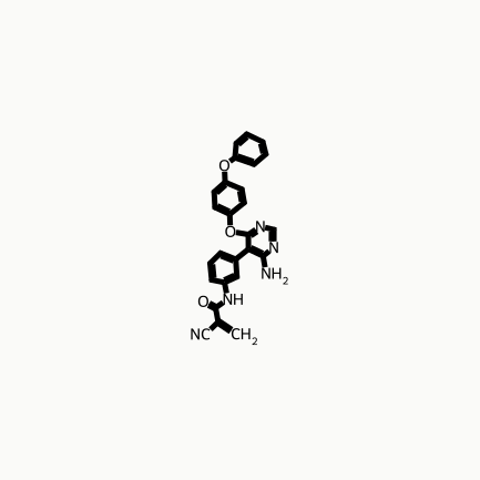 C=C(C#N)C(=O)Nc1cccc(-c2c(N)ncnc2Oc2ccc(Oc3ccccc3)cc2)c1